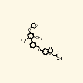 Cc1cc(O[C@H]2CCOC2)cc(C)c1-c1cccc(COc2ccc3c(c2)OC[C@H]3CC(=O)O)c1